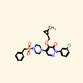 CC1CC1COc1c(N2CCN(S(=O)(=O)Cc3ccccc3)CC2)cnn(-c2cccc(Cl)c2)c1=O